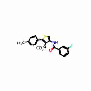 Cc1ccc(-c2scc(NC(=O)c3cccc(F)c3)c2C(=O)O)cc1